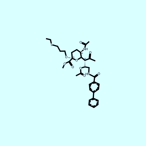 CCSCCCO[C@]1(C(=O)OC)CC[C@@H](NC(C)=O)C([C@H](C(C)=O)C(CNC(=O)c2ccc(-c3ccccc3)cc2)OC(C)=O)O1